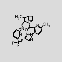 Cc1ccc(-n2nccn2)c(C(=O)N2C3CC(C3)C(C)C2CNc2cccc(C(F)(F)F)n2)n1